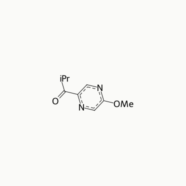 COc1cnc(C(=O)C(C)C)cn1